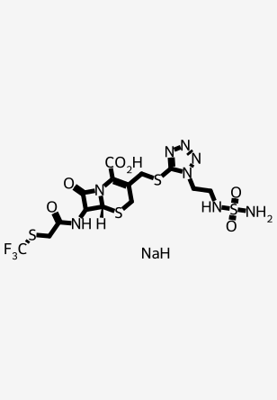 NS(=O)(=O)NCCn1nnnc1SCC1=C(C(=O)O)N2C(=O)C(NC(=O)CSC(F)(F)F)[C@H]2SC1.[NaH]